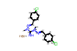 Br.CN(/N=C/c1ccc(Cl)cc1)C(=N)N(C)/N=C/c1ccc(Cl)cc1